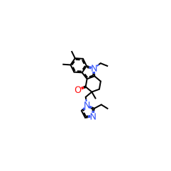 CCc1nccn1CC1(C)CCc2c(c3cc(C)c(C)cc3n2CC)C1=O